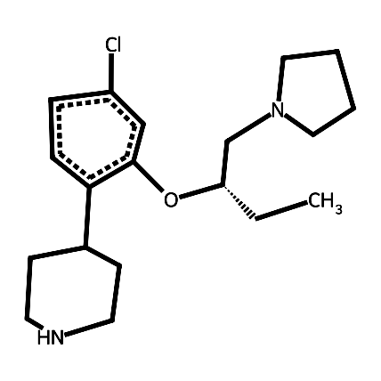 CC[C@@H](CN1CCCC1)Oc1cc(Cl)ccc1C1CCNCC1